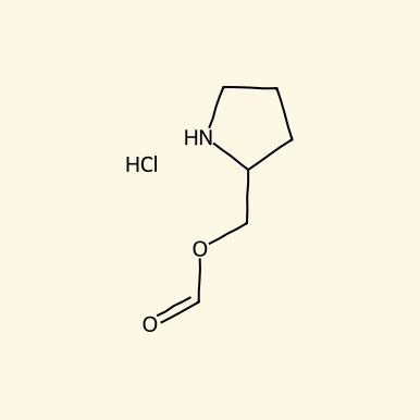 Cl.O=COCC1CCCN1